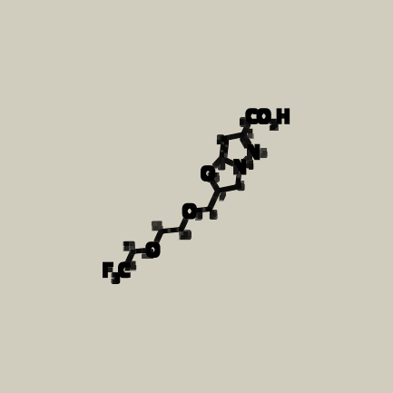 O=C(O)c1cc2n(n1)CC(COCCOCC(F)(F)F)O2